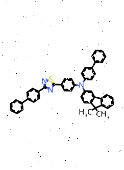 CC1(C)c2ccccc2-c2cc(N(c3ccc(-c4ccccc4)cc3)c3ccc(-c4nc(-c5ccc(-c6ccccc6)cc5)ns4)cc3)ccc21